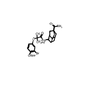 COc1ccc(OC(C)(C)C(=O)[AsH]C2C3CC4CC2CC(C(N)=O)(C4)C3)cc1Br